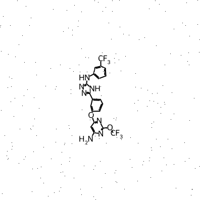 Nc1cc(Oc2cccc(-c3nnc(Nc4cccc(C(F)(F)F)c4)[nH]3)c2)nc(OC(F)(F)F)n1